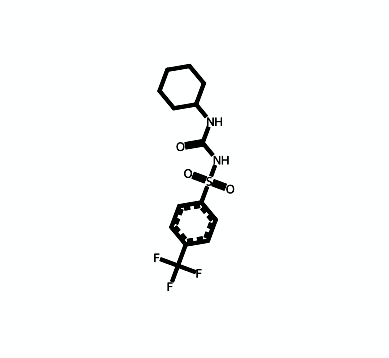 O=C(NC1CCCCC1)NS(=O)(=O)c1ccc(C(F)(F)F)cc1